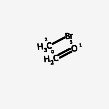 C=O.CBr